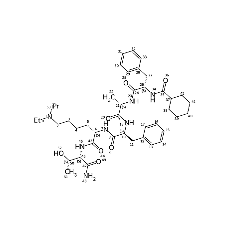 CCN(CCCC[C@H](NC(=O)[C@H](Cc1ccccc1)NC(=O)[C@H](C)NC(=O)[C@H](Cc1ccccc1)NC(=O)C1CCCCC1)C(=O)N[C@H](C(N)=O)[C@H](C)O)C(C)C